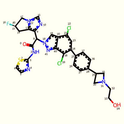 O=C(Nc1nccs1)C(c1ncn2c1C[C@@H](F)C2)n1cc2c(Cl)cc(-c3ccc(C4CN(CCO)C4)cc3)c(Cl)c2n1